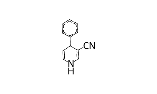 N#CC1=CNC=CC1c1ccccc1